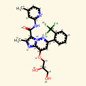 Cc1ccnc(NC(=O)c2c(C)nc3c(OC[C@H](O)CO)cc(-c4ccccc4C(F)(F)F)nn23)c1